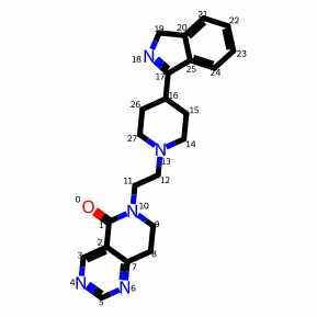 O=C1c2cncnc2CCN1CCN1CCC(C2=NCc3ccccc32)CC1